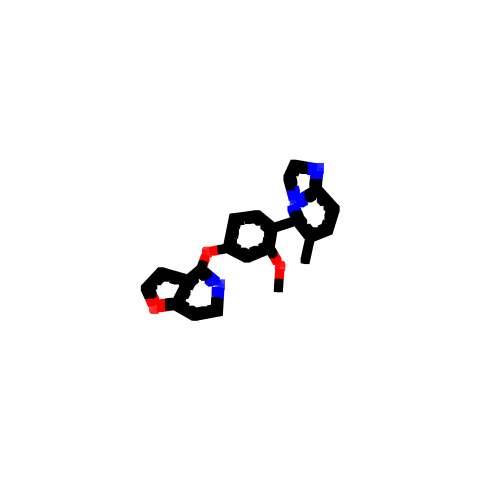 COc1cc(Oc2nccc3occc23)ccc1-c1c(C)ccc2nccn12